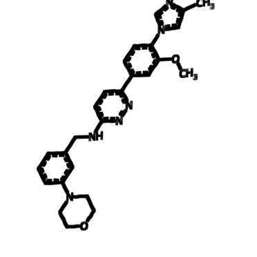 COc1cc(-c2ccc(NCc3cccc(N4CCOCC4)c3)nn2)ccc1-n1cnc(C)c1